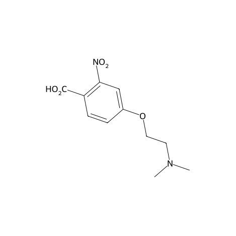 CN(C)CCOc1ccc(C(=O)O)c([N+](=O)[O-])c1